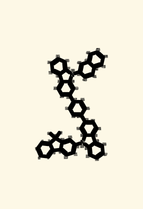 CC1(C)c2ccccc2-c2ccc(-n3c4ccccc4c4ccc(-c5ccc(-c6ccc7c8ccccc8n(-c8ccc9ccccc9c8)c7c6)cc5)cc43)cc21